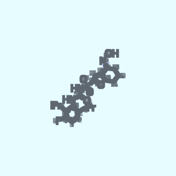 CC(C)c1ccc(F)c(C(C)C)c1NC(=O)NS(=O)(=O)c1cc2c(o1)CCC/C2=N\O